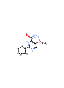 COc1cnc(-c2ccccc2)nc1C(N)=O